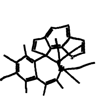 CC1=C(C)c2c(C)c(C)c(C)c(C)c2C2(C=Cc3ccc4ccsc4c32)c2c(C)c(C)c(C)c(C)c21